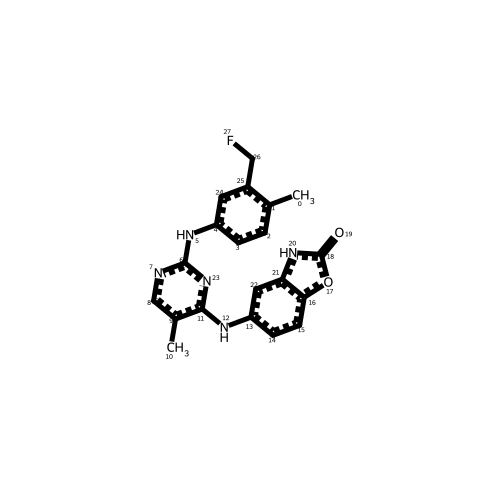 Cc1ccc(Nc2ncc(C)c(Nc3ccc4oc(=O)[nH]c4c3)n2)cc1CF